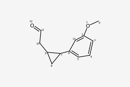 COc1cccc(C2CC2CC=O)c1